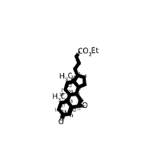 CCOC(=O)CCCC1CCC2C3C4OC4C4=CC(=O)CCC4(C)C3CCC12C